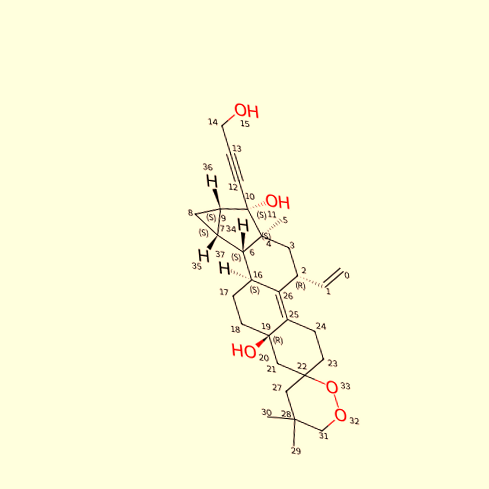 C=C[C@H]1C[C@@]2(C)[C@@H]([C@@H]3C[C@@H]3[C@@]2(O)C#CCO)[C@@H]2CC[C@@]3(O)CC4(CCC3=C21)CC(C)(C)COO4